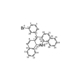 Brc1cccc(C2=C3C=Cc4ccccc4C3Nc3c2ccc2ccccc32)c1